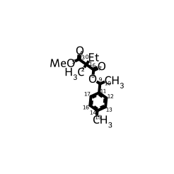 CCC(C)(C(=O)OC)C(=O)OC(C)c1ccc(C)cc1